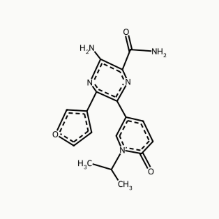 CC(C)n1cc(-c2nc(C(N)=O)c(N)nc2-c2ccoc2)ccc1=O